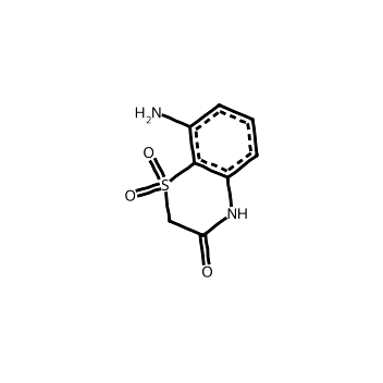 Nc1cccc2c1S(=O)(=O)CC(=O)N2